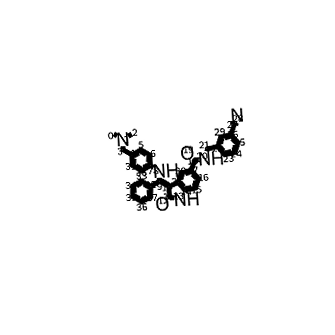 CN(C)Cc1ccc(NC(=C2C(=O)Nc3ccc(C(=O)NCc4cccc(C#N)c4)cc32)c2ccccc2)cc1